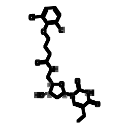 CCc1cn([C@H]2C[C@H](O)[C@@H](CNC(=O)CCCOc3c(Cl)cccc3Cl)O2)c(=O)[nH]c1=O